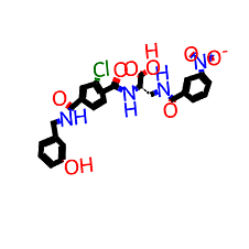 O=C(NCc1cccc(O)c1)c1ccc(C(=O)N[C@@H](CNC(=O)c2cccc([N+](=O)[O-])c2)C(=O)O)c(Cl)c1